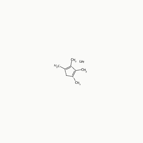 CC1=C(C)C(C)=C(C)C1.[LiH]